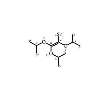 CC(C)O[C]([Sn])=C(OC(C)C)OC(C)C